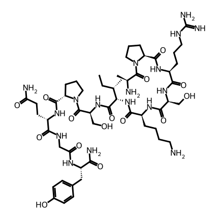 CC[C@H](C)[C@H](NC(=O)[C@H](CCCCN)NC(=O)[C@H](CO)NC(=O)[C@H](CCCNC(=N)N)NC(=O)[C@@H]1CCCN1C(=O)[C@H](C)N)C(=O)N[C@@H](CO)C(=O)N1CCC[C@H]1C(=O)N[C@@H](CCC(N)=O)C(=O)NCC(=O)N[C@@H](Cc1ccc(O)cc1)C(N)=O